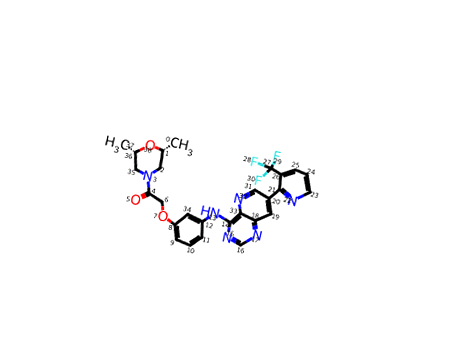 C[C@@H]1CN(C(=O)COc2cccc(Nc3ncnc4cc(-c5ncccc5C(F)(F)F)cnc34)c2)C[C@H](C)O1